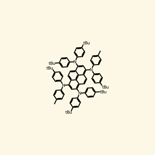 Cc1ccc(N(c2ccc(C(C)(C)C)cc2)c2cc(N(c3ccc(C(C)(C)C)cc3)c3ccc(C(C)(C)C)cc3)c3ccc4c(N(c5ccc(C)cc5)c5ccc(C(C)(C)C)cc5)cc(N(c5ccc(C(C)(C)C)cc5)c5ccc(C(C)(C)C)cc5)c5ccc2c3c45)cc1